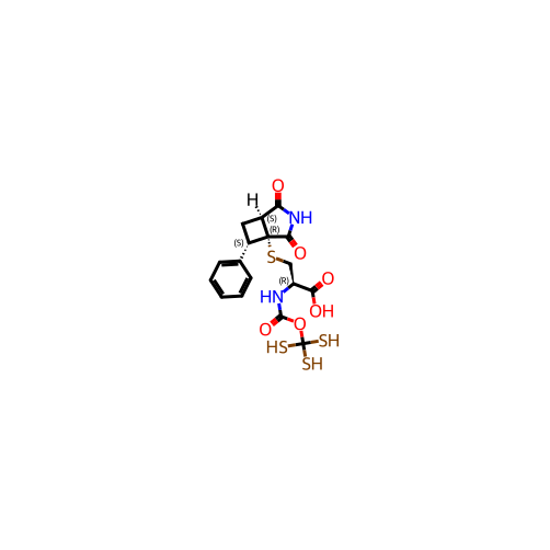 O=C(N[C@@H](CS[C@@]12C(=O)NC(=O)[C@@H]1C[C@H]2c1ccccc1)C(=O)O)OC(S)(S)S